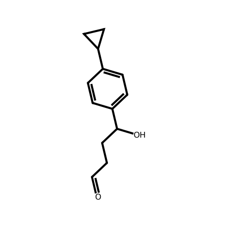 O=CCCC(O)c1ccc(C2CC2)cc1